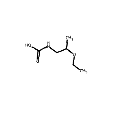 CCOC(C)CNC(=O)O